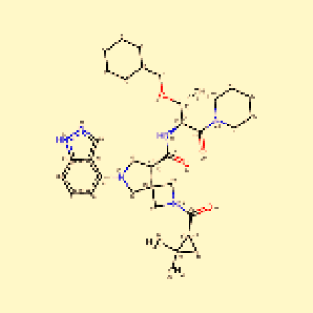 C[C@@H](OCC1CCCCC1)[C@H](NC(=O)[C@@H]1CN(c2cccc3[nH]ncc23)CC12CN(C(=O)[C@H]1CC1(C)C)C2)C(=O)N1CCCCC1